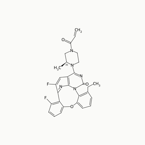 C=CC(=O)N1CCN(c2nc(=O)n3c4nc(c(F)cc24)c2c(F)cccc2oc2cccc(CC)c23)[C@@H](C)C1